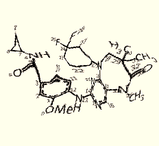 COc1cc(C(=O)NC2CC2)ccc1Nc1ncc2c(n1)N(C1CCC(F)(F)C1)CC(C)(C)C(=O)N2C